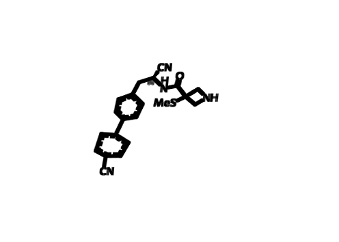 CSC1(C(=O)N[C@H](C#N)Cc2ccc(-c3ccc(C#N)cc3)cc2)CNC1